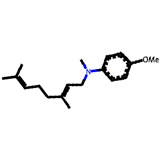 COc1ccc(N(C)C/C=C(\C)CCC=C(C)C)cc1